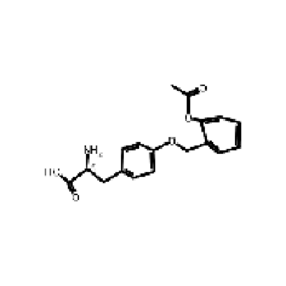 CC(=O)Oc1ccccc1COc1ccc(C[C@H](N)C(=O)O)cc1